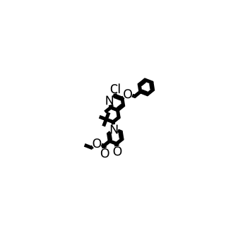 CCOC(=O)c1cn(C(Cc2cc(OCc3ccccc3)c(Cl)nc2C)C(C)(C)C)ccc1=O